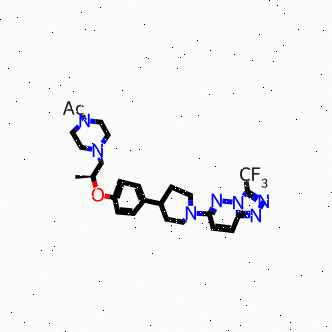 CC(=O)N1CCN(C[C@H](C)Oc2ccc(C3CCN(c4ccc5nnc(C(F)(F)F)n5n4)CC3)cc2)CC1